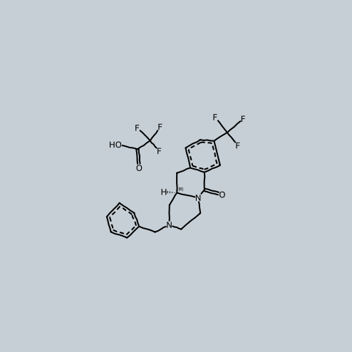 O=C(O)C(F)(F)F.O=C1c2cc(C(F)(F)F)ccc2C[C@@H]2CN(Cc3ccccc3)CCN12